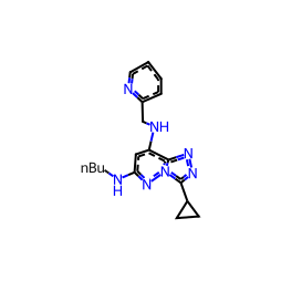 CCCCNc1cc(NCc2ccccn2)c2nnc(C3CC3)n2n1